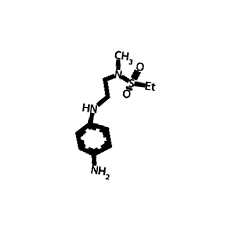 CCS(=O)(=O)N(C)CCNc1ccc(N)cc1